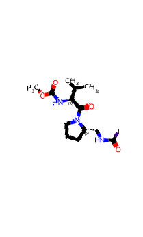 COC(=O)N[C@H](C(=O)N1CCC[C@H]1CNC(=O)I)C(C)C